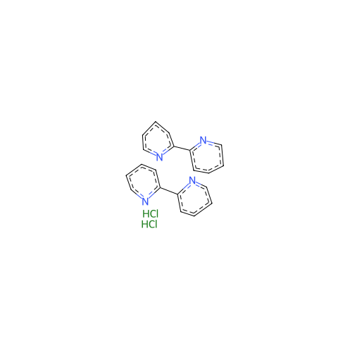 Cl.Cl.c1ccc(-c2ccccn2)nc1.c1ccc(-c2ccccn2)nc1